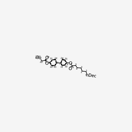 CCCCCCCCCCCCCCCC(=O)Oc1ccc(-c2ccc(OC(=O)CC(C)CC)cc2)cc1